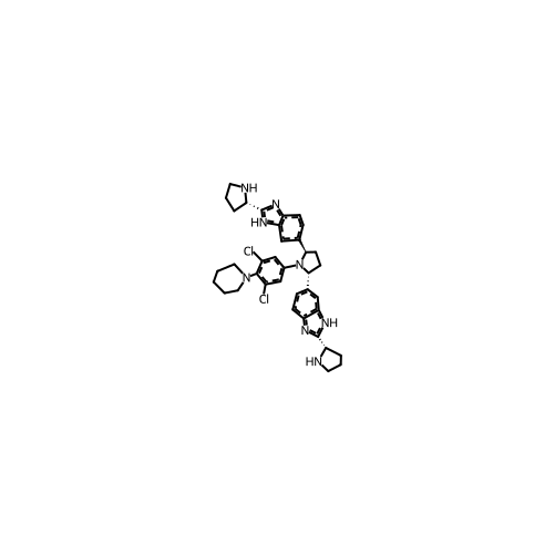 Clc1cc(N2[C@@H](c3ccc4nc([C@@H]5CCCN5)[nH]c4c3)CC[C@@H]2c2ccc3nc([C@@H]4CCCN4)[nH]c3c2)cc(Cl)c1N1CCCCC1